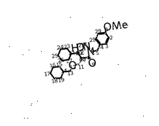 COc1ccc(CN(N)C(=O)[C@H](COCC2CCCCC2)C(=O)C2CCCCC2)cc1